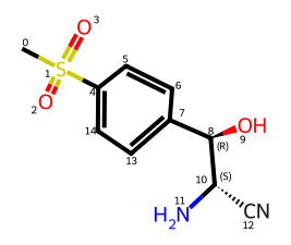 CS(=O)(=O)c1ccc([C@@H](O)[C@@H](N)C#N)cc1